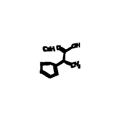 CC(C(=O)O)c1ccccc1.[CsH]